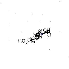 O=C(O)c1csc([C@H]2CC[C@@H]3[C@@H](/C=C/C[C@H](O)C4(CCl)CCC4)[C@H](O)C[C@@H]3O2)n1